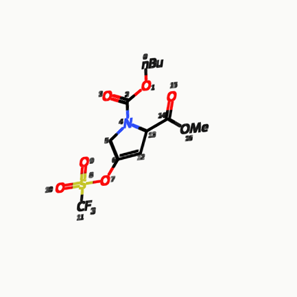 CCCCOC(=O)N1CC(OS(=O)(=O)C(F)(F)F)=CC1C(=O)OC